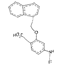 CCNc1ccc(C(=O)O)c(OCc2cccc3ccccc23)c1